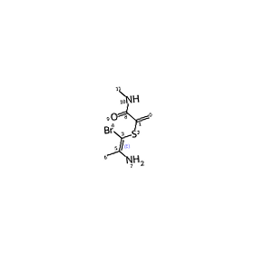 C=C(S/C(Br)=C(/C)N)C(=O)NC